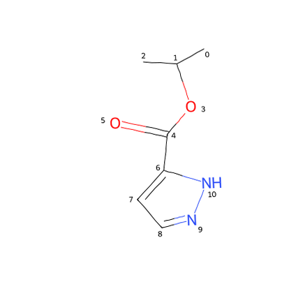 CC(C)OC(=O)c1ccn[nH]1